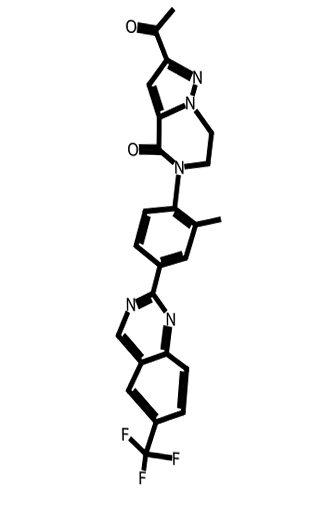 CC(=O)c1cc2n(n1)CCN(c1ccc(-c3ncc4cc(C(F)(F)F)ccc4n3)cc1C)C2=O